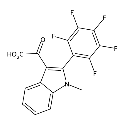 Cn1c(-c2c(F)c(F)c(F)c(F)c2F)c(C(=O)C(=O)O)c2ccccc21